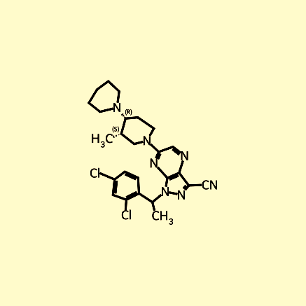 CC(c1ccc(Cl)cc1Cl)n1nc(C#N)c2ncc(N3CC[C@@H](N4CCCCC4)[C@@H](C)C3)nc21